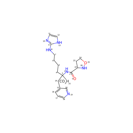 O=C(NC(CCCCNc1ncc[nH]1)(Cc1cccnc1)C(=O)O)C1CCON1